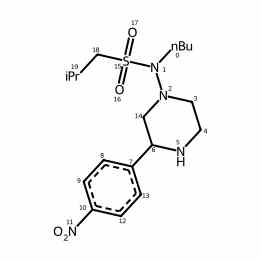 CCCCN(N1CCNC(c2ccc([N+](=O)[O-])cc2)C1)S(=O)(=O)CC(C)C